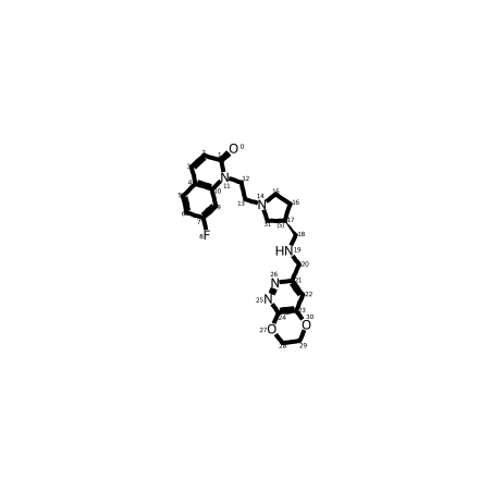 O=c1ccc2ccc(F)cc2n1CCN1CC[C@@H](CNCc2cc3c(nn2)OCCO3)C1